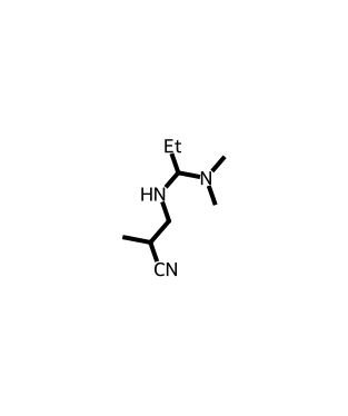 CCC(NCC(C)C#N)N(C)C